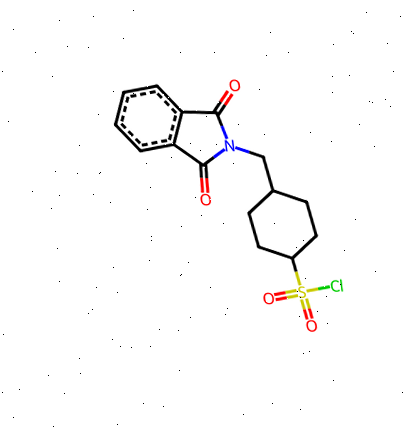 O=C1c2ccccc2C(=O)N1CC1CCC(S(=O)(=O)Cl)CC1